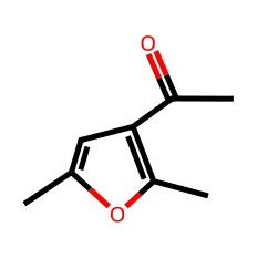 CC(=O)c1cc(C)oc1C